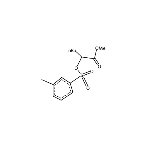 CCCCC(OS(=O)(=O)c1cccc(C)c1)C(=O)OC